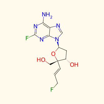 Nc1nc(F)nc2c1ncn2[C@H]1C[C@H](O)[C@@](/C=C/CF)(CO)O1